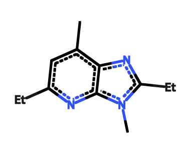 CCc1cc(C)c2nc(CC)n(C)c2n1